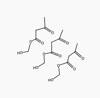 CC(=O)CC(=O)OCO.CC(=O)CC(=O)OCO.CC(=O)CC(=O)OCO